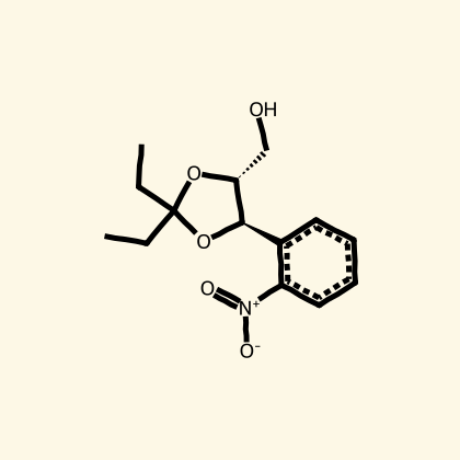 CCC1(CC)O[C@H](c2ccccc2[N+](=O)[O-])[C@@H](CO)O1